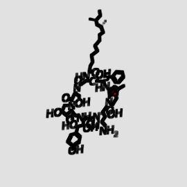 CC[C@H](C)C[C@H](C)CCCCCCCCC(=O)N[C@H]1C[C@@H](O)[C@@H](Sc2ccccc2)NC2=CC(C)[C@H]3CCN(C(=O)[C@H]([C@H](O)CCN)NC(=O)[C@H]([C@H](O)[C@@H](O)c4ccc(O)cc4)NC(=O)[C@@H]4C[C@@H](O)CN4C(=O)/C(CO)=N/C1=O)[C@H]23